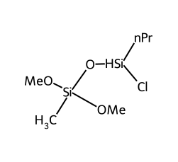 CCC[SiH](Cl)O[Si](C)(OC)OC